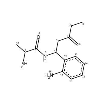 C=C(CC)CC(NC(=O)C(C)S)c1ccccc1N